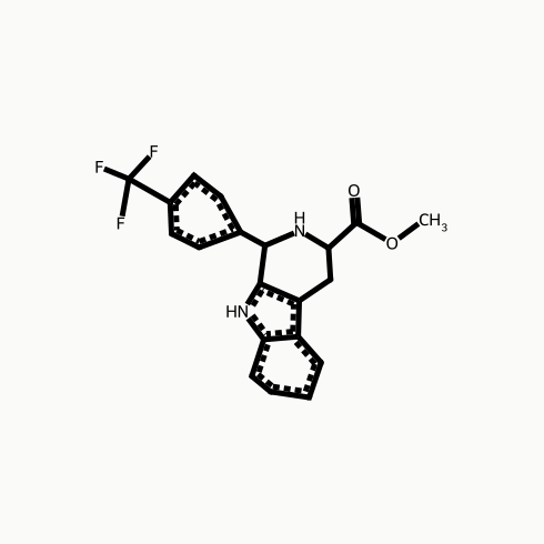 COC(=O)C1Cc2c([nH]c3ccccc23)C(c2ccc(C(F)(F)F)cc2)N1